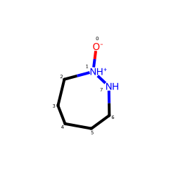 [O-][NH+]1CCCCCN1